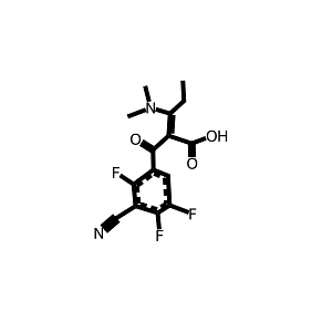 CCC(=C(C(=O)O)C(=O)c1cc(F)c(F)c(C#N)c1F)N(C)C